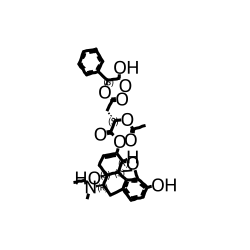 CCN(C)[C@@H]1Cc2ccc(O)c3c2[C@@]2(C)[C@@H](O3)C(OC(=O)[C@H](CC(=O)O[C@H](C(=O)O)c3ccccc3)OC(C)=O)=CC[C@@]12O